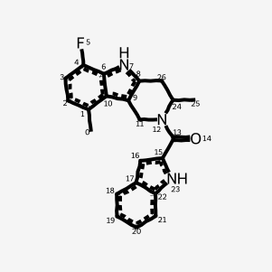 Cc1ccc(F)c2[nH]c3c(c12)CN(C(=O)c1cc2ccccc2[nH]1)C(C)C3